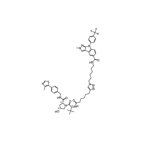 Cc1ncsc1-c1ccc(CNC(=O)[C@@H]2C[C@@H](O)CN2C(=O)[C@@H](NC(=O)CCCCCc2cn(CCCCCCNC(=O)c3ccc4c(c3)c3cn(C)nc3n4-c3ccc(C(F)(F)F)cc3)nn2)C(C)(C)C)cc1